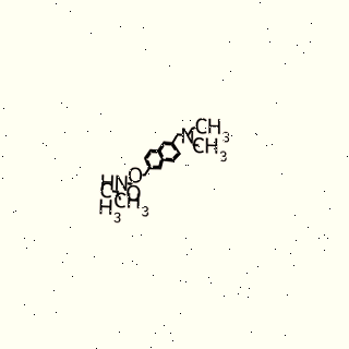 CCN(CC)Cc1ccc2cc(COC(=O)NC(C)C)ccc2c1